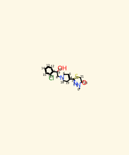 CN1N=C(C2=CCN(CC(O)c3ccccc3Cl)CC2)SCC1=O